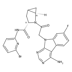 Nc1ncnc2c1c1ccc(F)cc1n2CC(=O)N1[C@@H]2CC2C[C@H]1C(=O)Nc1cccc(Br)n1